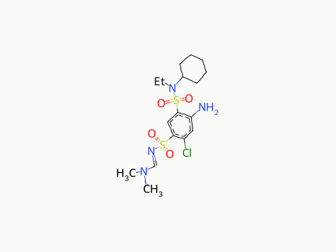 CCN(C1CCCCC1)S(=O)(=O)c1cc(S(=O)(=O)N=CN(C)C)c(Cl)cc1N